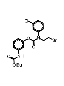 CC(C)COC(=O)Nc1cccc(OC(=O)N(CCBr)c2cccc(Cl)c2)c1